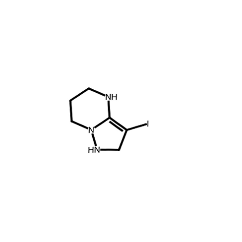 IC1=C2NCCCN2NC1